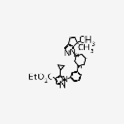 CCOC(=O)c1cnn(-c2cccc([C@@H]3CCC[C@@H](n4ncc5c4C(C)(C)CC5)C3)c2)c1C1CC1